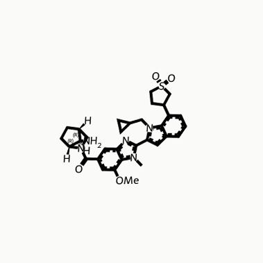 COc1cc(C(=O)N2C[C@H]3CC[C@@H]2[C@@H]3N)cc2nc(-c3cc4cccc(C5CCS(=O)(=O)C5)c4n3CC3CC3)n(C)c12